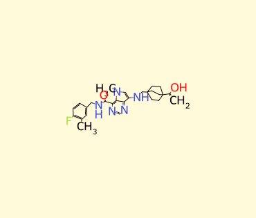 C=C(O)C12CCC(CNc3cn(C)c4c(C(=O)NCc5ccc(F)c(C)c5)ncnc34)(CC1)CC2